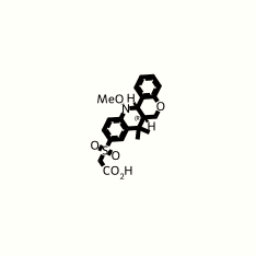 CON1c2ccc(S(=O)(=O)CC(=O)O)cc2C(C)(C)[C@H]2COc3ccccc3[C@H]21